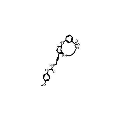 COc1ccc(NC(=O)NCC#Cc2cnc3nc2NCCCNS(=O)(=O)c2cccc(c2)N3)cc1